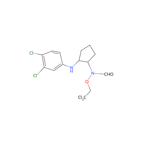 O=CN(OCC(Cl)(Cl)Cl)C1CCCC1Nc1ccc(Cl)c(Cl)c1